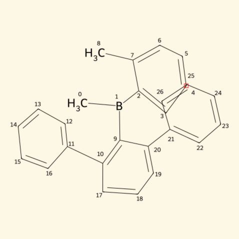 CB(c1ccccc1C)c1c(-c2ccccc2)cccc1-c1ccccc1